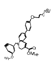 CCCCOCCOc1ccc(-c2ccc3c(c2)C=C(C(=O)OC)CCN3Cc2cccc(OCCC)c2)cc1